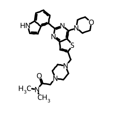 CN(C)C(=O)CN1CCN(Cc2cc3nc(-c4cccc5[nH]ccc45)nc(N4CCOCC4)c3s2)CC1